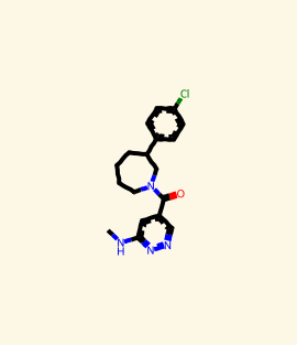 CNc1cc(C(=O)N2CCCCC(c3ccc(Cl)cc3)C2)cnn1